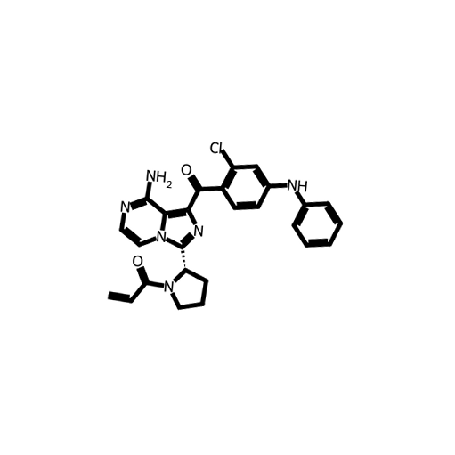 C=CC(=O)N1CCC[C@H]1c1nc(C(=O)c2ccc(Nc3ccccc3)cc2Cl)c2c(N)nccn12